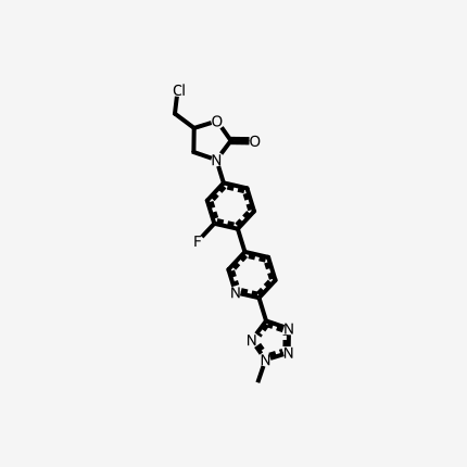 Cn1nnc(-c2ccc(-c3ccc(N4CC(CCl)OC4=O)cc3F)cn2)n1